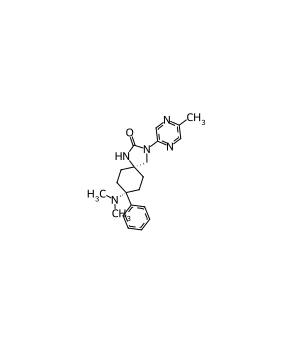 Cc1cnc(N2C[C@]3(CC[C@@](c4ccccc4)(N(C)C)CC3)NC2=O)cn1